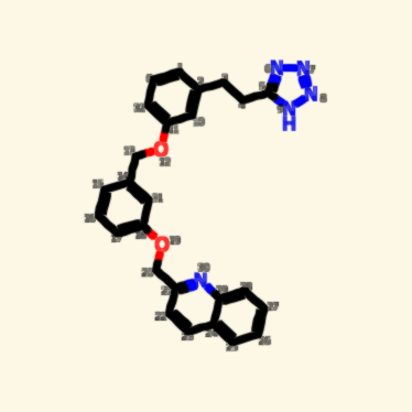 c1cc(CCc2nnn[nH]2)cc(OCc2cccc(OCc3ccc4ccccc4n3)c2)c1